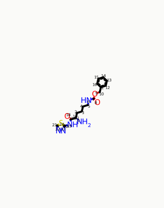 N[C@@H](CCCCNC(=O)OCc1ccccc1)C(=O)Nc1nncs1